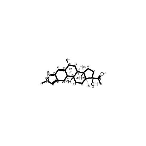 CC(=O)[C@@]1(O)CC[C@H]2[C@@H]3C[C@H](C)C4=Cc5nn(C)cc5C[C@]4(C)[C@H]3CC[C@@]21C